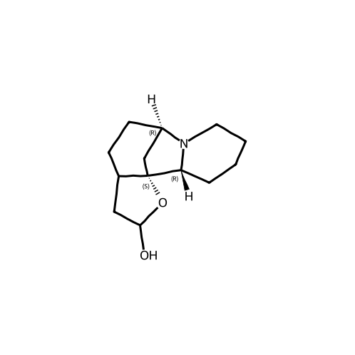 OC1CC2CC[C@@H]3C[C@@]2(O1)[C@H]1CCCCN31